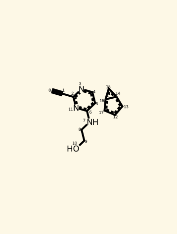 C#Cc1nccc(NCCO)n1.c1cc2cc-2c1